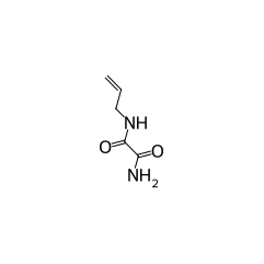 C=CCNC(=O)C(N)=O